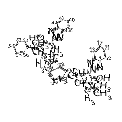 CC(C)(C)c1cc(-n2nc3ccccc3n2)c(O)c(C(C)(C)C)c1.CC(C)(c1ccccc1)c1cc(-n2nc3ccccc3n2)c(O)c(C(C)(C)c2ccccc2)c1